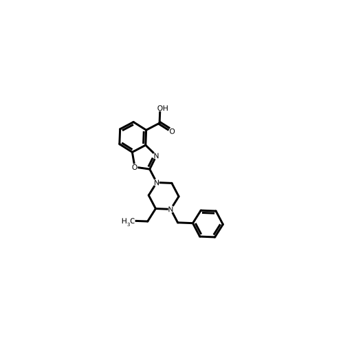 CCC1CN(c2nc3c(C(=O)O)cccc3o2)CCN1Cc1ccccc1